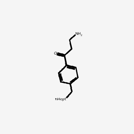 CCCCCCCCc1ccc(C(=O)CCN)cc1